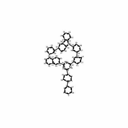 c1ccc(-c2ccc(-c3nc(-c4cccc(-c5cccc(-n6c7ccccc7c7cc(-c8ccccc8)ccc76)c5)c4)nc(-c4ccc5ccccc5c4)n3)cc2)cc1